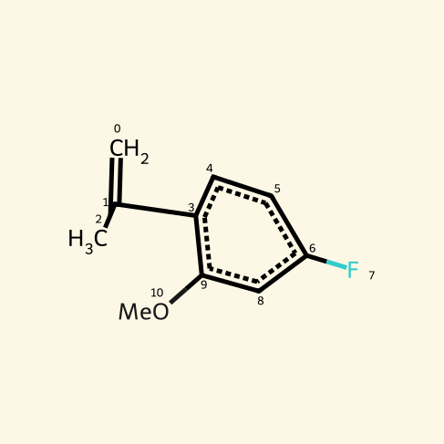 C=C(C)c1ccc(F)cc1OC